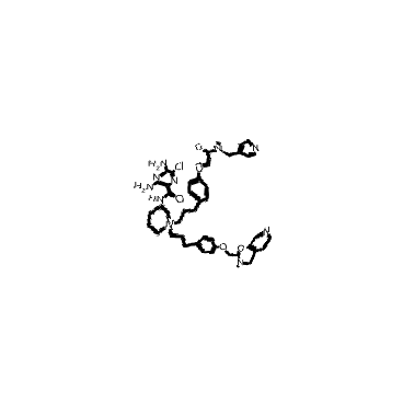 CN(Cc1ccncc1)C(=O)COc1ccc(CCC[N+]2(CCCc3ccc(OCC(=O)N(C)Cc4ccncc4)cc3)CCC[C@H](NC(=O)c3nc(Cl)c(N)nc3N)C2)cc1